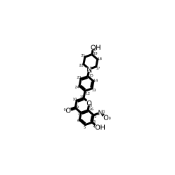 O=Nc1c(O)ccc2c(=O)cc(-c3ccc(N4CCC(O)CC4)cc3)oc12